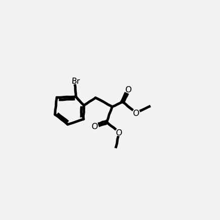 COC(=O)C(Cc1ccccc1Br)C(=O)OC